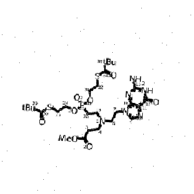 COC(=O)CCN(CCn1cnc2c(=O)[nH]c(N)nc21)CCP(=O)(OCCSC(=O)C(C)(C)C)OCCSC(=O)C(C)(C)C